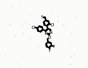 Fc1ccc(COc2ncc(-c3ccc(C=S)cc3Cl)c(-c3ccc(Cl)cc3)n2)cc1F